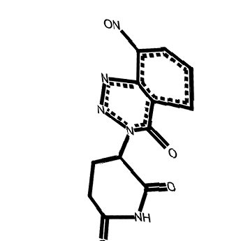 O=Nc1cccc2c(=O)n(C3CCC(=O)NC3=O)nnc12